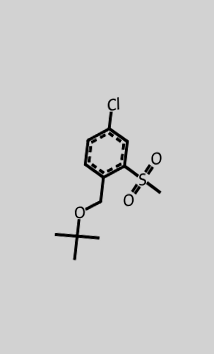 CC(C)(C)OCc1ccc(Cl)cc1S(C)(=O)=O